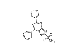 CS(=O)(=O)c1nc2nc(-c3ccccc3)cc(-c3ccccc3)n2n1